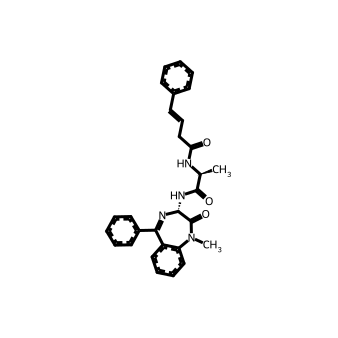 C[C@H](NC(=O)C/C=C/c1ccccc1)C(=O)N[C@H]1N=C(c2ccccc2)c2ccccc2N(C)C1=O